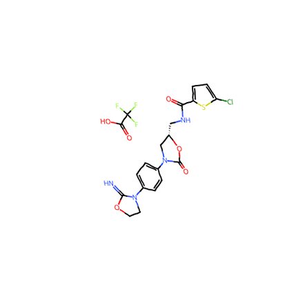 N=C1OCCN1c1ccc(N2C[C@H](CNC(=O)c3ccc(Cl)s3)OC2=O)cc1.O=C(O)C(F)(F)F